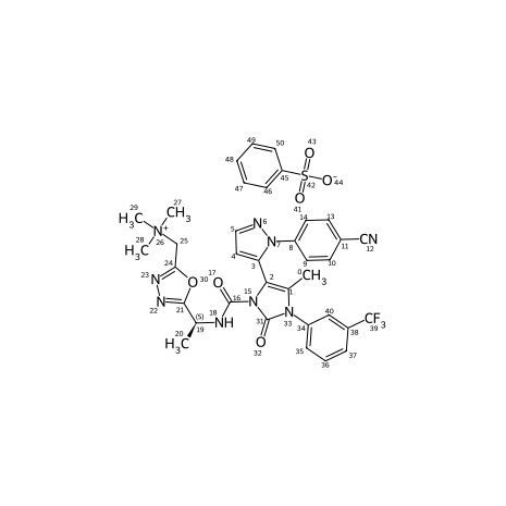 Cc1c(-c2ccnn2-c2ccc(C#N)cc2)n(C(=O)N[C@@H](C)c2nnc(C[N+](C)(C)C)o2)c(=O)n1-c1cccc(C(F)(F)F)c1.O=S(=O)([O-])c1ccccc1